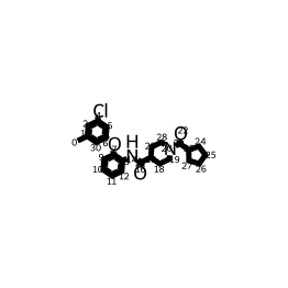 Cc1cc(Cl)cc(Oc2ccccc2NC(=O)C2CCN(C(=O)C3CCCC3)CC2)c1